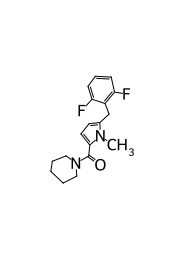 Cn1c(Cc2c(F)cccc2F)ccc1C(=O)N1CCCCC1